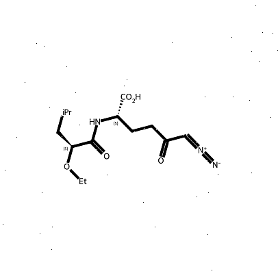 CCO[C@@H](CC(C)C)C(=O)N[C@@H](CCC(=O)C=[N+]=[N-])C(=O)O